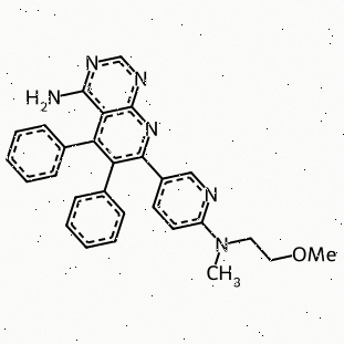 COCCN(C)c1ccc(-c2nc3ncnc(N)c3c(-c3ccccc3)c2-c2ccccc2)cn1